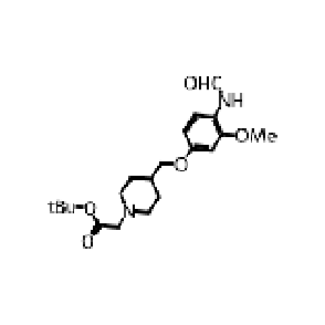 COc1cc(OCC2CCN(CC(=O)OC(C)(C)C)CC2)ccc1NC=O